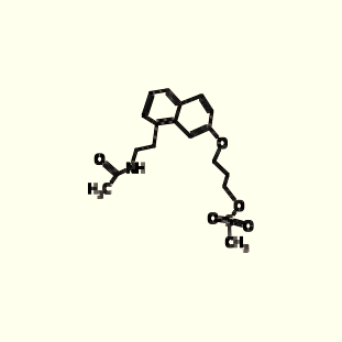 CC(=O)NCCc1cccc2ccc(OCCCOS(C)(=O)=O)cc12